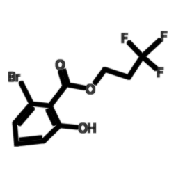 O=C(OCCC(F)(F)F)c1c(O)cccc1Br